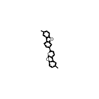 Cc1ccc2oc3cc(-c4ccc5c(c4)oc4ccc(C)cc45)ccc3c2c1